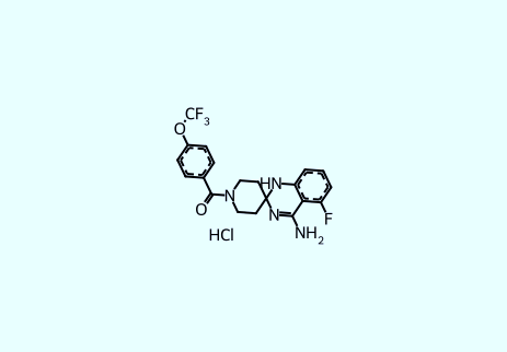 Cl.NC1=NC2(CCN(C(=O)c3ccc(OC(F)(F)F)cc3)CC2)Nc2cccc(F)c21